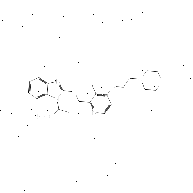 Cc1c(SCCN2CCOCC2)ccnc1CSc1nc2ccccc2n1C(C)C(=O)O